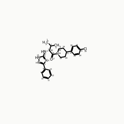 CC(C)[C@@H](Nc1nc(-c2ccccc2)n[nH]1)C(=O)N1CCC(c2ccc(Cl)cc2)CC1